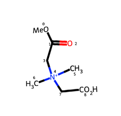 COC(=O)C[N+](C)(C)CC(=O)O